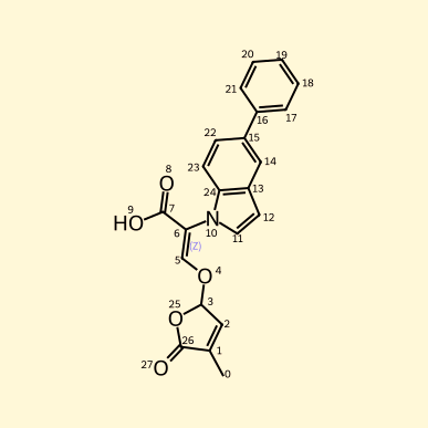 CC1=CC(O/C=C(/C(=O)O)n2ccc3cc(-c4ccccc4)ccc32)OC1=O